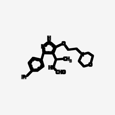 CC(C)c1ccc(-c2n[nH]c(OCCN3CCOCC3)c2C(C)NC=O)cc1